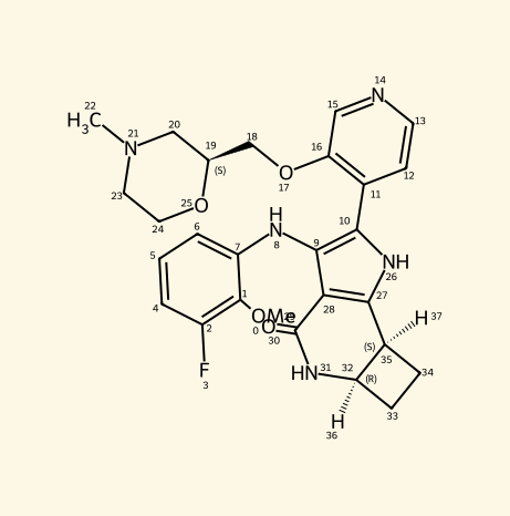 COc1c(F)cccc1Nc1c(-c2ccncc2OC[C@@H]2CN(C)CCO2)[nH]c2c1C(=O)N[C@@H]1CC[C@H]21